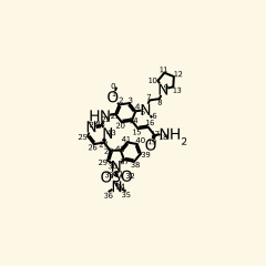 COc1cc(N(C)CCN2CCCC2)c(C=CC(N)=O)cc1Nc1nccc(-c2cn(S(=O)(=O)N(C)C)c3ccccc23)n1